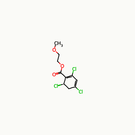 COCCOC(=O)C1=C(Cl)C=C(Cl)C[C@H]1Cl